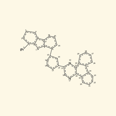 CC(C)c1cccc2c1sc1c(-c3cccc(-c4cnc5c6ccccc6c6ccccc6c5n4)c3)cccc12